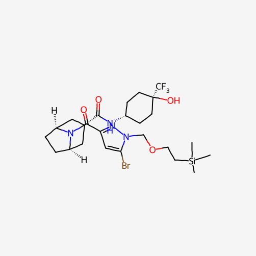 C[Si](C)(C)CCOCn1nc(C(=O)N2[C@@H]3CC[C@H]2C[C@H](C(=O)N[C@H]2CC[C@@](O)(C(F)(F)F)CC2)C3)cc1Br